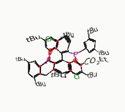 CCOC(=O)COc1c(Cl)ccc(P(c2cc(C(C)(C)C)cc(C(C)(C)C)c2)c2cc(C(C)(C)C)cc(C(C)(C)C)c2)c1-c1c(P(c2cc(C(C)(C)C)cc(C(C)(C)C)c2)c2cc(C(C)(C)C)cc(C(C)(C)C)c2)ccc(Cl)c1OC1CCCCC1